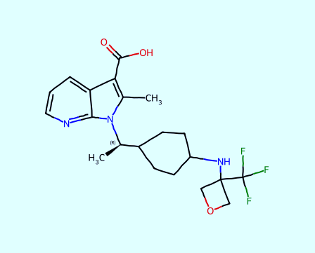 Cc1c(C(=O)O)c2cccnc2n1[C@H](C)C1CCC(NC2(C(F)(F)F)COC2)CC1